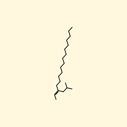 CC=C(CCCCCCCCCCCCCC)CC(C)C